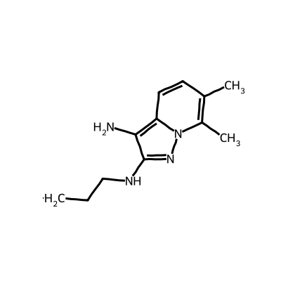 [CH2]CCNc1nn2c(C)c(C)ccc2c1N